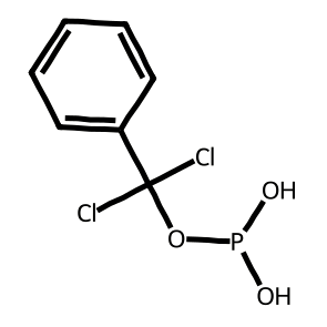 OP(O)OC(Cl)(Cl)c1ccccc1